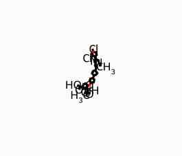 CCn1cc(-c2ccc(Cl)cc2Cl)nc1/C=C/c1ccc(-c2ccc(Oc3ccc(C(=O)O)cc3NS(C)(=O)=O)cc2)cc1